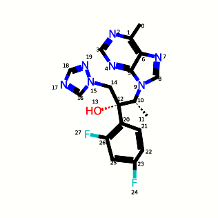 Cc1ncnc2c1ncn2[C@H](C)[C@](O)(Cn1cncn1)c1ccc(F)cc1F